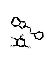 Cc1cc(C(C)(C)C)c(O)c(C(C)(C)C)c1.c1ccc2sc(SNC3CCCCC3)nc2c1